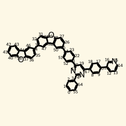 c1ccc(-c2nc(-c3ccc(-c4cccnc4)cc3)cc(-c3ccc(-c4ccc5oc6ccc(-c7ccc8oc9ccccc9c8c7)cc6c5c4)cc3)n2)cc1